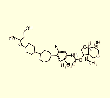 C=NC12COC[C@@H](O)[C@H]1OCC2OC(=C)Nc1cc(F)c(C2CCCC(C3CCC(OC(CCC)CCO)CC3)CC2)nc1C